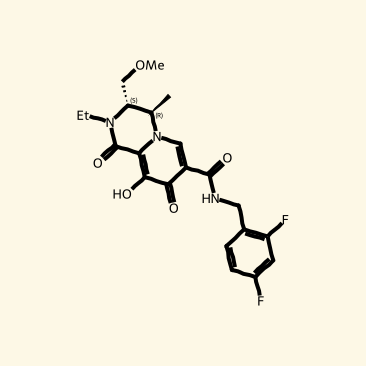 CCN1C(=O)c2c(O)c(=O)c(C(=O)NCc3ccc(F)cc3F)cn2[C@H](C)[C@H]1COC